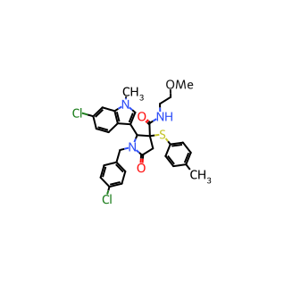 COCCNC(=O)C1(Sc2ccc(C)cc2)CC(=O)N(Cc2ccc(Cl)cc2)C1c1cn(C)c2cc(Cl)ccc12